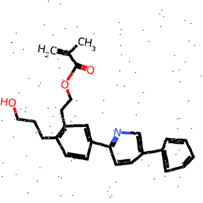 C=C(C)C(=O)OCCc1cc(-c2ccc(-c3ccccc3)cn2)ccc1CCCO